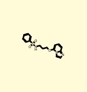 O=S(=O)(NCCCOc1cccc2nccn12)c1ccccc1